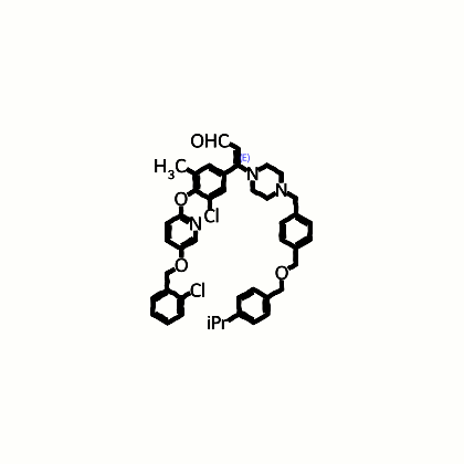 Cc1cc(/C(=C\C=O)N2CCN(Cc3ccc(COCc4ccc(C(C)C)cc4)cc3)CC2)cc(Cl)c1Oc1ccc(OCc2ccccc2Cl)cn1